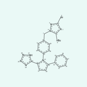 CCCCc1nc(C(C)C)nn1Cc1ccc(-n2c(-c3ccccc3)ccc2-c2nnn[nH]2)cc1